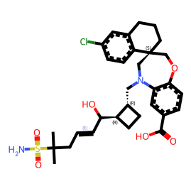 CC(C)(C/C=C/C(O)[C@@H]1CC[C@H]1CN1C[C@@]2(CCCc3cc(Cl)ccc32)COc2ccc(C(=O)O)cc21)S(N)(=O)=O